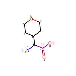 NC(C1CCOCC1)[PH](=O)O